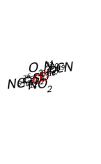 C[Si](C)(OCc1ccc(C#N)cc1[N+](=O)[O-])OCc1ccc(C#N)cc1[N+](=O)[O-]